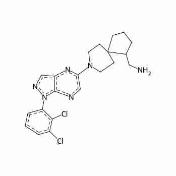 NCC1CCCC12CCN(c1cnc3c(cnn3-c3cccc(Cl)c3Cl)n1)CC2